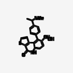 CNC(C)c1ccc(-c2c(O)ccc3[nH]c(=O)c4sccc4c23)cc1.Cl